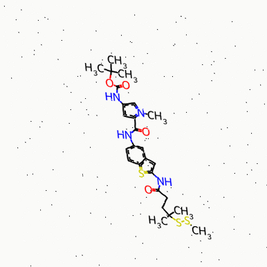 CSSC(C)(C)CCC(=O)Nc1cc2cc(NC(=O)c3cc(NC(=O)OC(C)(C)C)cn3C)ccc2s1